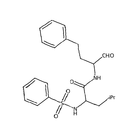 CC(C)CC(NS(=O)(=O)c1ccccc1)C(=O)NC(C=O)CCc1ccccc1